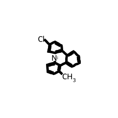 Cc1cccc([N])c1-c1ccccc1-c1ccc(Cl)cc1